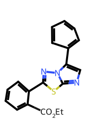 CCOC(=O)c1ccccc1-c1nn2c(-c3ccccc3)cnc2s1